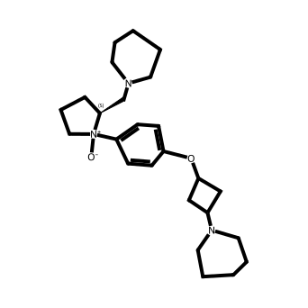 [O-][N+]1(c2ccc(OC3CC(N4CCCCC4)C3)cc2)CCC[C@H]1CN1CCCCC1